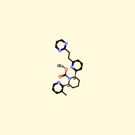 Cc1cccnc1[C@@H]1CCC[C@H](c2cccc(CCc3ncccn3)n2)N1C(=O)OC(C)(C)C